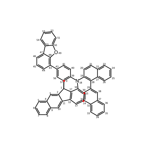 CC12c3cc4ccccc4cc3-c3cccc(c31)N(c1ccc3ccccc3c1-c1ccc3ccccc3c1)c1ccc(-c3cccc4c3oc3ccccc34)cc12